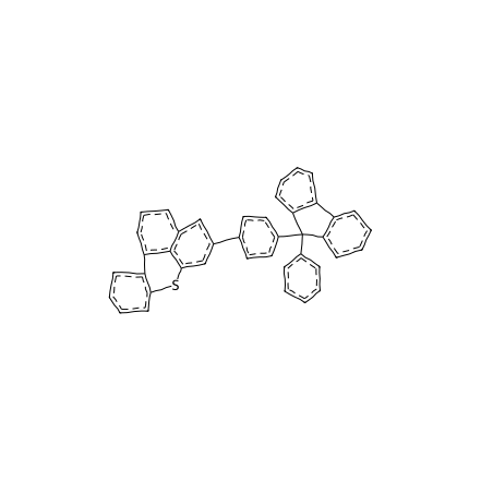 c1ccc(C2(c3ccc(-c4cc5c6c(cccc6c4)-c4ccccc4S5)cc3)c3ccccc3-c3ccccc32)cc1